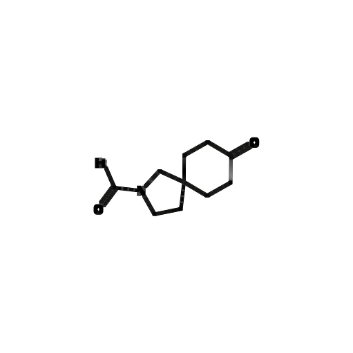 CCC(=O)N1CCC2(CCC(=O)CC2)C1